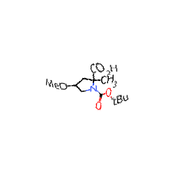 COC1CN(C(=O)OC(C)(C)C)C(C)(C(=O)O)C1